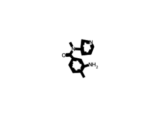 Cc1ccc(C(=O)N(C)c2cccnc2)cc1N